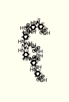 Cc1cc(NC2=NC(NCCS(=O)(=O)O)NC(Nc3ccc(NNc4ccc(NN(C)c5ccc(S(=O)(=O)O)cc5)cc4S(=O)(=O)O)c(C)c3)=N2)ccc1NNc1ccc(NNc2ccc(S(=O)(=O)O)cc2)cc1S(=O)(=O)O